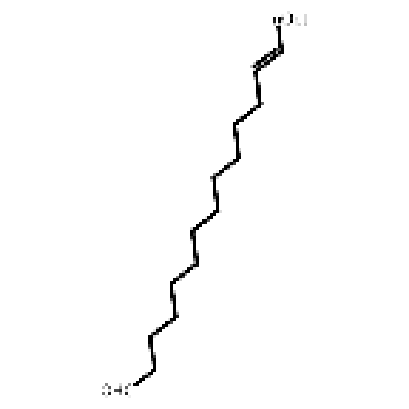 CCCCCCCC/C=C/CCCCCCCCCCCC=O